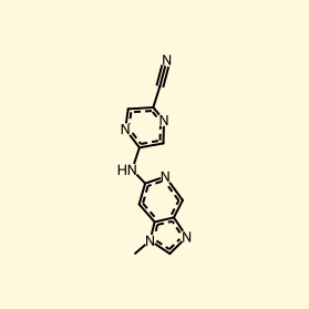 Cn1cnc2cnc(Nc3cnc(C#N)cn3)cc21